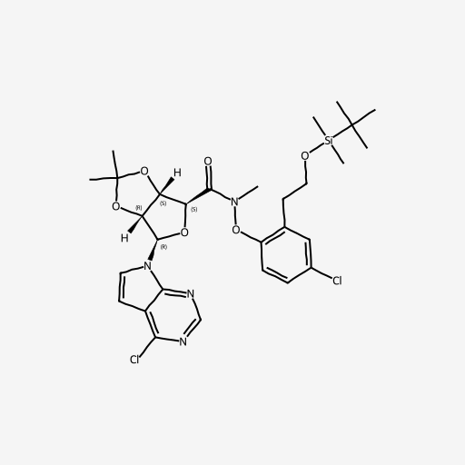 CN(Oc1ccc(Cl)cc1CCO[Si](C)(C)C(C)(C)C)C(=O)[C@H]1O[C@@H](n2ccc3c(Cl)ncnc32)[C@@H]2OC(C)(C)O[C@@H]21